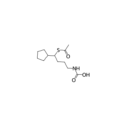 CC(=O)SC(CCCNC(=O)O)C1CCCC1